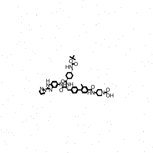 Cc1cc(C(=O)NC2CCN(C(=O)O)CC2)ccc1-c1ccc(C[C@H](NC(=O)[C@H]2CC[C@H](CNC(=O)OC(C)(C)C)CC2)C(=O)Nc2ccc3[nH]c(-n4cccn4)nc3c2)cc1